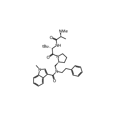 CN[C@@H](C)C(=O)N[C@H](C(=O)N1CCC[C@H]1CN(CCc1ccccc1)C(=O)c1cn(C)c2ccccc12)C(C)(C)C